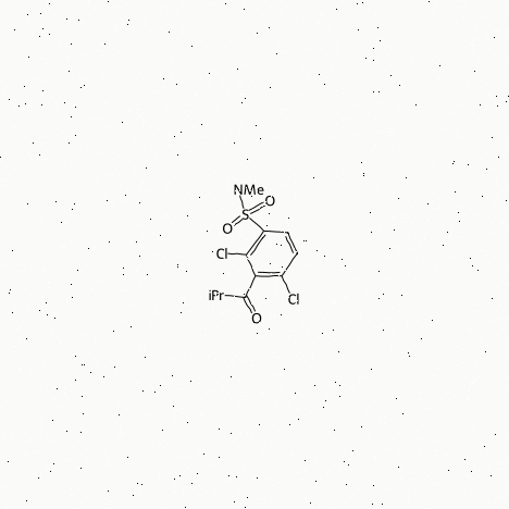 CNS(=O)(=O)c1ccc(Cl)c(C(=O)C(C)C)c1Cl